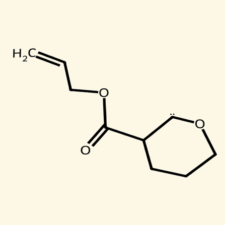 C=CCOC(=O)C1[C]OCCC1